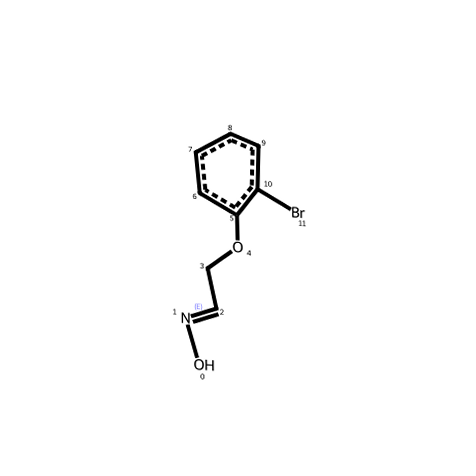 O/N=C/COc1ccccc1Br